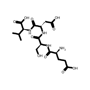 CC(C)[C@H](NC(=O)[C@H](CC(=O)O)NC(=O)[C@H](CO)NC(=O)[C@@H](N)CCC(=O)O)C(=O)O